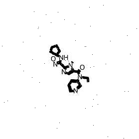 CCN(C(=O)c1cnc(C2=NOC3(CCCC3)N2)n1C)c1cccnc1